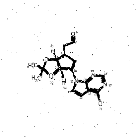 CC1(C)O[C@@H]2[C@@H](CC=O)C[C@@H](n3ccc4c(Cl)ncnc43)[C@@H]2O1